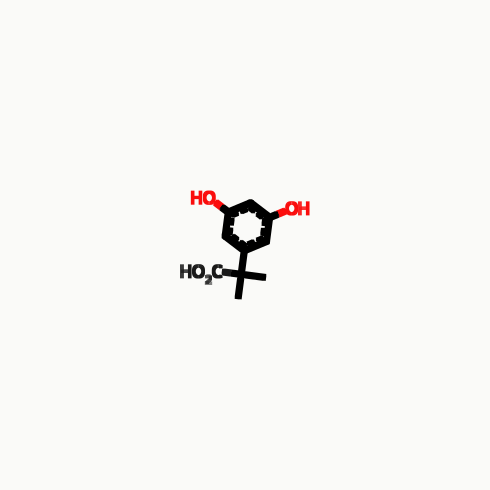 CC(C)(C(=O)O)c1cc(O)cc(O)c1